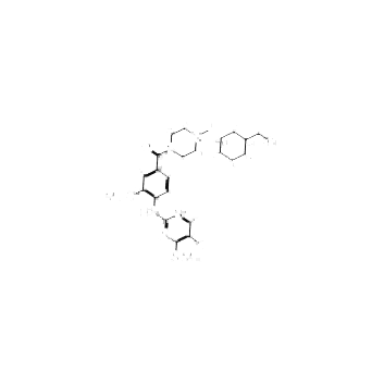 CNc1nc(Nc2ccc(C(=O)N3CCN(C[C@H]4CCCC(CBr)C4)CC3)cc2OC)ncc1Cl